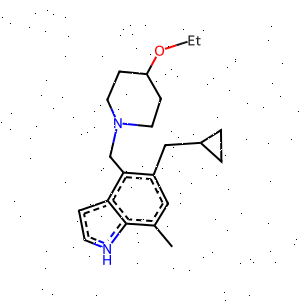 CCOC1CCN(Cc2c(CC3CC3)cc(C)c3[nH]ccc23)CC1